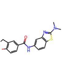 CN(C)c1nc2cc(NC(=O)c3ccc4c(c3)CCO4)ccc2s1